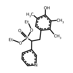 CCOP(=O)(OCC)C(Cc1cc(C)c(O)c(C)c1C)c1cccnc1